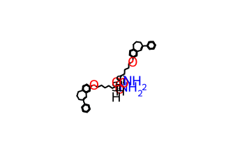 NO[SiH](CCCCCOc1ccc2c(c1)C=C(c1ccccc1)CCC2)O[SiH](CCCCCOc1ccc2c(c1)C=C(c1ccccc1)CCC2)ON